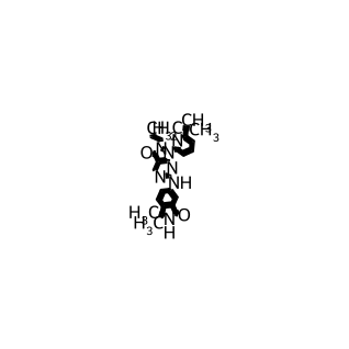 C=CCn1c(=O)c2cnc(Nc3ccc4c(c3)C(=O)NC4(C)C)nc2n1-c1cccc(C(C)(C)C)n1